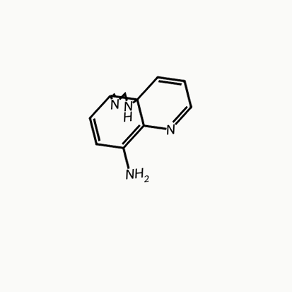 NC1=C2N=CC=CC23NCN=C3C=C1